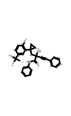 O=C(Nc1ccccc1)C(O)(C#Cc1ccccc1)CC1(c2cc(C(F)(F)F)ccc2F)CC1